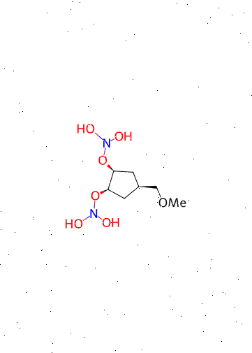 COC[C@@H]1C[C@H](ON(O)O)[C@H](ON(O)O)C1